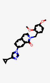 COc1ccc(Cn2ccc3ccc(-n4cnc(C5CC5)c4)cc3c2=O)c(OC)c1